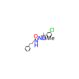 COC(C)(CNC(=O)NCCCc1ccccc1)c1cccc(Cl)c1